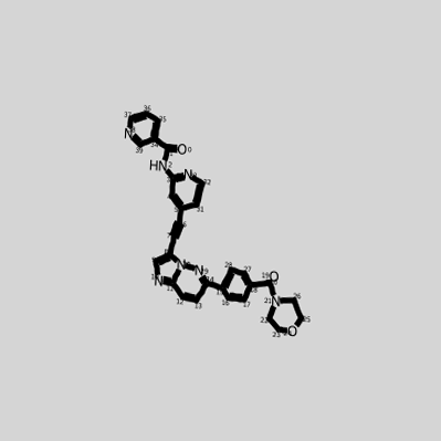 O=C(Nc1cc(C#Cc2cnc3ccc(-c4ccc(C(=O)N5CCOCC5)cc4)nn23)ccn1)c1cccnc1